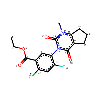 CCOC(=O)c1cc(-n2c(=O)c3c(n(C)c2=O)CCC3)c(F)cc1Cl